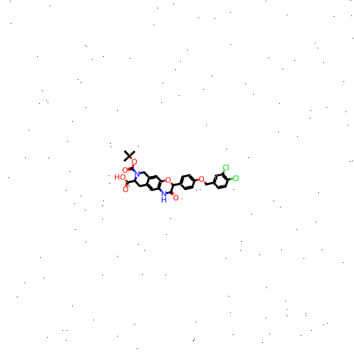 CC(C)(C)OC(=O)N1Cc2cc3c(cc2CC1C(=O)O)NC(=O)C(c1ccc(OCc2ccc(Cl)c(Cl)c2)cc1)O3